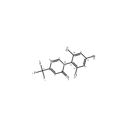 O=c1cc(C(F)(F)F)ncn1-c1c(Cl)cc(Br)cc1Cl